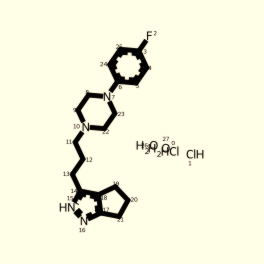 Cl.Cl.Fc1ccc(N2CCN(CCCc3[nH]nc4c3CCC4)CC2)cc1.O.O